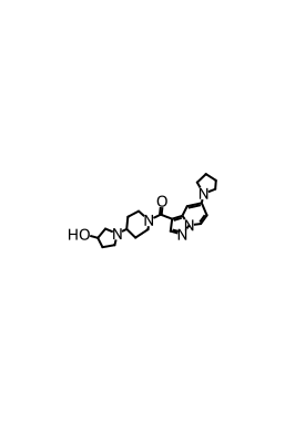 O=C(c1cnn2ccc(N3CCCC3)cc12)N1CCC(N2CCC(O)C2)CC1